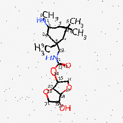 CNC1CC(C)(C)CC(C)(CNC(=O)OC2COC3C(O)COC23)C1